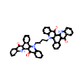 O=c1c2ccccc2[nH]c2c1c1ccccc1c1c2c(=O)c2ccccc2n1CCCCn1c2ccccc2c(=O)c2c3[nH]c4ccccc4c(=O)c3c3ccccc3c21